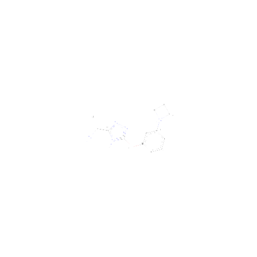 CCn1c(Oc2cccc(N3CCC3)c2)nnc1[C@@H](C)N